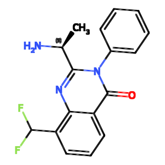 C[C@H](N)c1nc2c(C(F)F)cccc2c(=O)n1-c1ccccc1